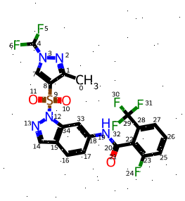 Cc1nn(C(F)F)cc1S(=O)(=O)n1ncc2ccc(NC(=O)c3c(F)cccc3C(F)(F)F)cc21